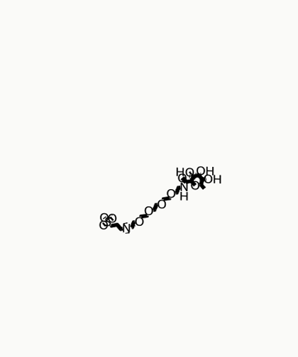 CC1OC(C(=O)NCCOCCOCCOCCOCC[N+](C)(C)CCCS(=O)(=O)[O-])[C@@H](O)[C@H](O)[C@H]1O